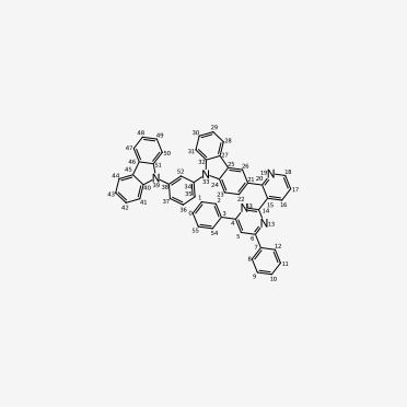 c1ccc(-c2cc(-c3ccccc3)nc(-c3cccnc3-c3ccc4c(c3)c3ccccc3n4-c3cccc(-n4c5ccccc5c5ccccc54)c3)n2)cc1